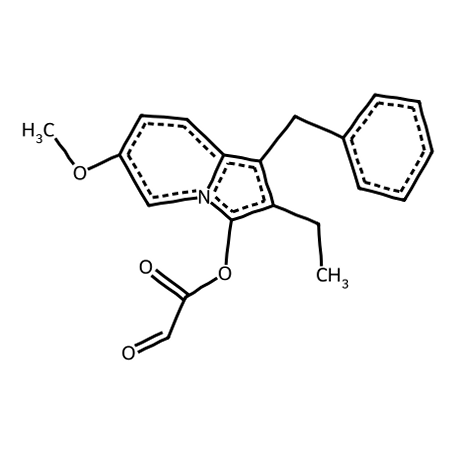 CCc1c(Cc2ccccc2)c2ccc(OC)cn2c1OC(=O)C=O